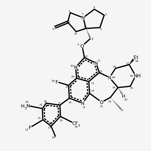 C=C1CN2CCC[C@@]2(COc2nc3c4c(nc(-c5cc(N)c(F)c(C)c5C(F)(F)F)c(F)c4n2)O[C@@H](C)[C@@H]2CN[C@H](CC)CN32)C1